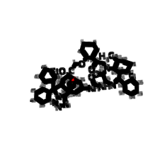 CCOC(=O)COc1ccccc1C(=O)CN1C(=O)[C@H](NC(=O)Nc2cccc(-c3nnnn3C(c3ccccc3)(c3ccccc3)c3ccccc3)c2)N=C(c2ccccc2F)c2cccc(C)c21